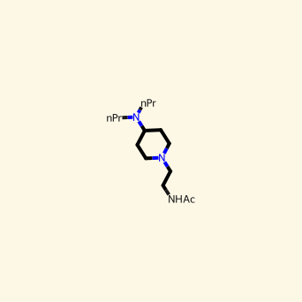 CCCN(CCC)C1CCN(CCNC(C)=O)CC1